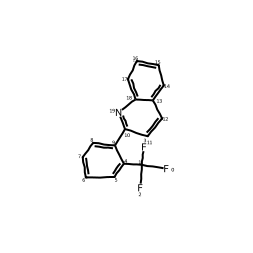 FC(F)(F)c1ccccc1-c1ccc2cc[c]cc2n1